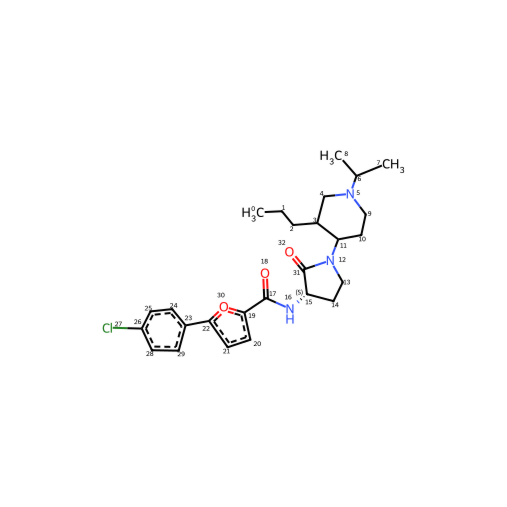 CCCC1CN(C(C)C)CCC1N1CC[C@H](NC(=O)c2ccc(-c3ccc(Cl)cc3)o2)C1=O